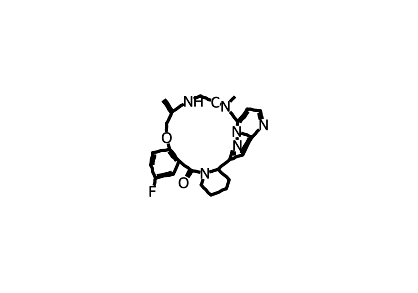 C=C1COc2ccc(F)cc2C(=O)N2CCCCC2c2cc3nccc(n3n2)N(C)CCN1